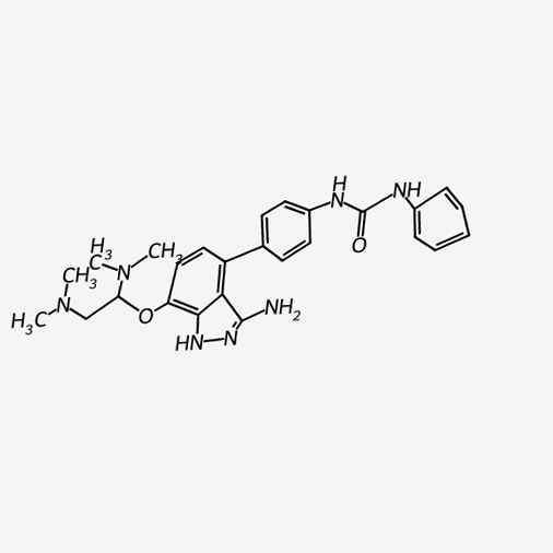 CN(C)CC(Oc1ccc(-c2ccc(NC(=O)Nc3ccccc3)cc2)c2c(N)n[nH]c12)N(C)C